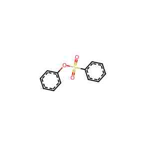 O=S(=O)(Oc1cc[c]cc1)c1ccccc1